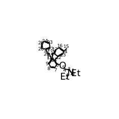 CCN(CC)CCOc1cccc2c1c1cc(C)ccc1n2Cc1ccccc1